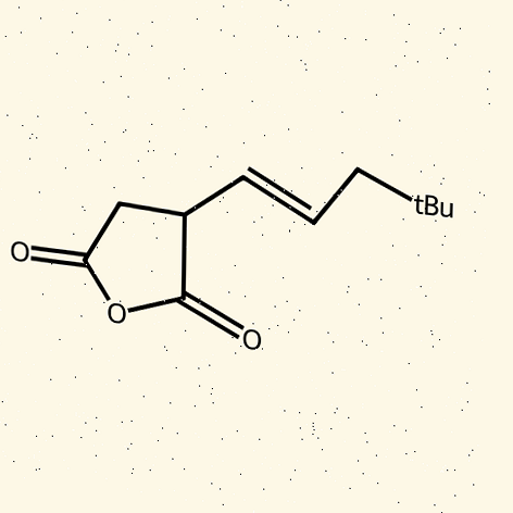 CC(C)(C)CC=CC1CC(=O)OC1=O